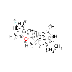 CC(C)BC(C)C(C)(C)CC(C)(C)C(C)OC(C)C(C)(C)BF